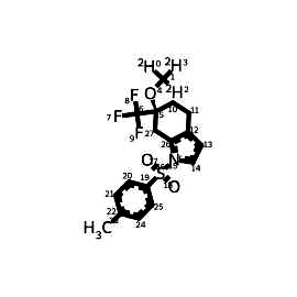 [2H]C([2H])([2H])O[C@@]1(C(F)(F)F)CCc2ccn(S(=O)(=O)c3ccc(C)cc3)c2C1